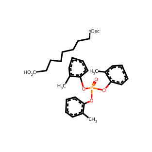 CCCCCCCCCCCCCCCCCC(=O)O.Cc1ccccc1OP(=O)(Oc1ccccc1C)Oc1ccccc1C